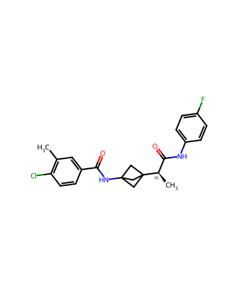 Cc1cc(C(=O)NC23CC([C@H](C)C(=O)Nc4ccc(F)cc4)(C2)C3)ccc1Cl